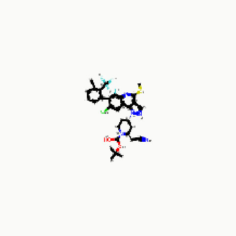 CSc1nc2c(F)c(-c3cccc(C)c3C(F)(F)F)c(Cl)cc2c2c1cnn2[C@H]1CCN(C(O)OC(C)(C)C)[C@H](CC#N)C1